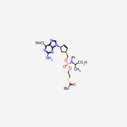 COc1nc(N)nc2c1ncn2[C@H]1C=C[C@@H](COP(=O)(OCCSC(=O)C(C)(C)C)N(C(C)C)C(C)C(=O)O)C1